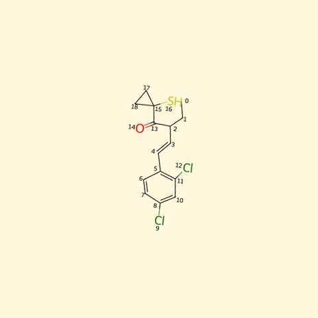 CCC(C=Cc1ccc(Cl)cc1Cl)C(=O)C1(S)CC1